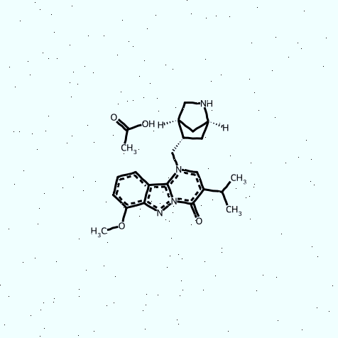 CC(=O)O.COc1cccc2c1nn1c(=O)c(C(C)C)cn(C[C@H]3C[C@H]4C[C@@H]3CN4)c21